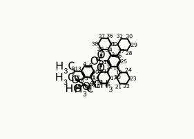 CC(C)c1cc(OS(=O)(=O)c2c(C3CCCCC3)c(C3CCCCC3)cc(C3CCCCC3)c2C2CCCCC2)cc(C(C)C)c1S(=O)(=O)O